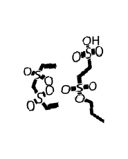 C=CS(=O)(=O)CS(=O)(=O)C=C.CCCOS(=O)(=O)CCS(=O)(=O)O